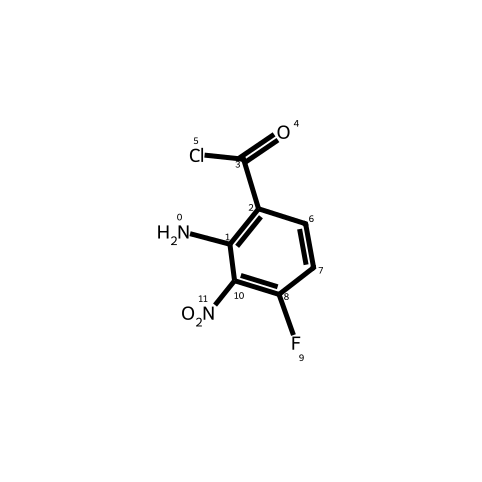 Nc1c(C(=O)Cl)ccc(F)c1[N+](=O)[O-]